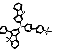 CC1(C)c2ccccc2-c2cc(N(c3ccc(-c4ccc([Si](C)(C)C)cc4)cc3)c3ccc4c(c3)oc3ccccc34)cc(-c3ccccc3)c21